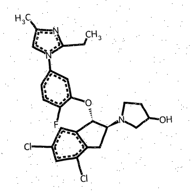 CCc1nc(C)cn1-c1ccc(F)c(O[C@H]2c3cc(Cl)cc(Cl)c3C[C@@H]2N2CCC(O)C2)c1